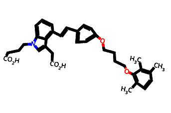 Cc1ccc(C)c(OCCCCOc2ccc(/C=C/c3cccc4c3c(CC(=O)O)cn4CCCC(=O)O)cc2)c1C